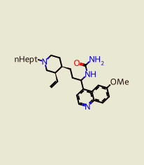 C=C[C@H]1CN(CCCCCCC)CC[C@H]1CCC(NC(N)=O)c1ccnc2ccc(OC)cc12